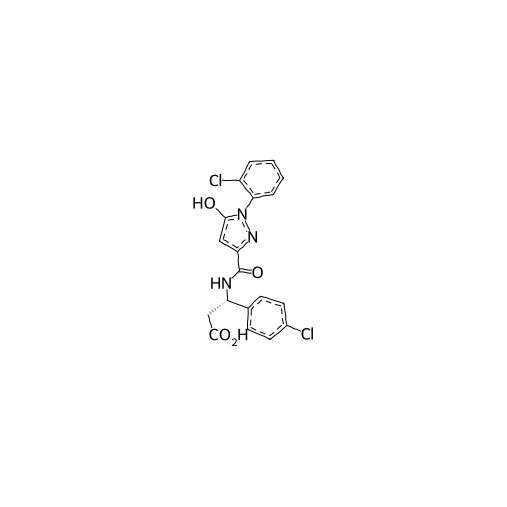 O=C(O)C[C@H](NC(=O)c1cc(O)n(-c2ccccc2Cl)n1)c1ccc(Cl)cc1